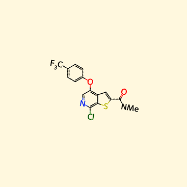 CNC(=O)c1cc2c(Oc3ccc(C(F)(F)F)cc3)cnc(Cl)c2s1